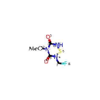 CON1C(=O)NSN(CF)C1=O